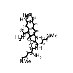 CNCCCC(N)C(=O)N[C@H](CCCNC)C(=O)NC(CCCNCN)C(=O)C(CCCNN)C(N)=O